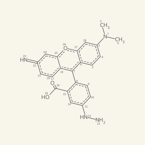 CN(C)c1ccc2c(-c3ccc(NN)cc3C(=O)O)c3ccc(=N)cc-3oc2c1